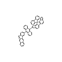 c1ccc2c(c1)-c1ccccc1C21c2c(ccc3ccccc23)-c2ccc3cc(-c4c5ccccc5c(-c5ccc6sc7cc8ccccc8cc7c6c5)c5ccccc45)ccc3c21